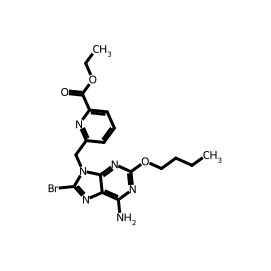 CCCCOc1nc(N)c2nc(Br)n(Cc3cccc(C(=O)OCC)n3)c2n1